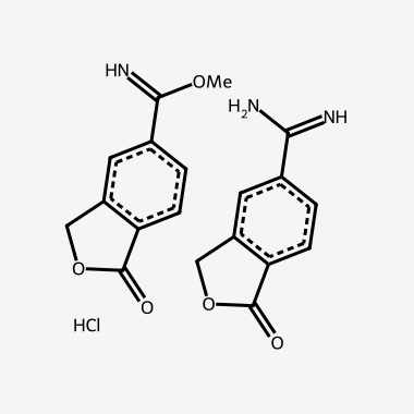 COC(=N)c1ccc2c(c1)COC2=O.Cl.N=C(N)c1ccc2c(c1)COC2=O